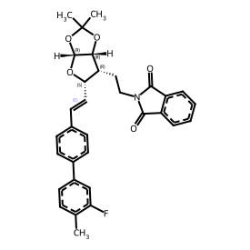 Cc1ccc(-c2ccc(/C=C/[C@@H]3O[C@@H]4OC(C)(C)O[C@@H]4[C@@H]3CCN3C(=O)c4ccccc4C3=O)cc2)cc1F